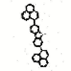 C1=CC(c2ccc3c(c2)[nH]c2cc(C4C=Cc5cccc6cccc4c56)ccc23)c2cccc3cccc1c23